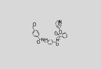 O=Cc1ccc(C(=O)NCc2ccc(C(=O)N3CC(C(=O)OC4CN5CCC4CC5)(c4ccccc4)C3)cc2)cc1